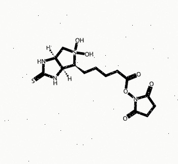 O=C(CCCC[C@H]1[C@H]2NC(=S)N[C@H]2CS1(O)O)ON1C(=O)CCC1=O